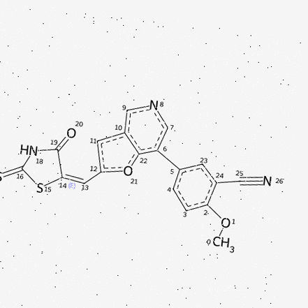 COc1ccc(-c2cncc3cc(/C=C4/SC(=S)NC4=O)oc23)cc1C#N